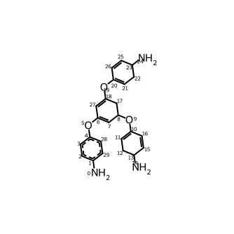 Nc1ccc(OC2=CC(OC3=CCC(N)C=C3)CC(OC3=CCC(N)C=C3)=C2)cc1